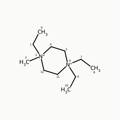 CC[N+]1(C)CC[N+](CC)(CC)CC1